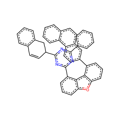 C1=CC(c2nc(-c3ccccc3)nc(-c3cccc4oc5cccc(-c6ccc7c(ccc8ccccc87)c6)c5c34)n2)Cc2ccccc21